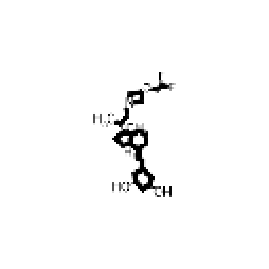 CC(CCN1CC(OCC(F)F)C1)[C@H]1CC[C@H]2C(=CC=C3C[C@@H](O)C[C@H](O)C3)CCC[C@]12C